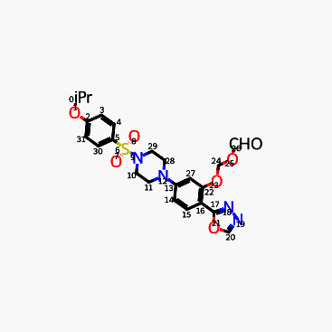 CC(C)Oc1ccc(S(=O)(=O)N2CCN(c3ccc(-c4nnco4)c(OCOC=O)c3)CC2)cc1